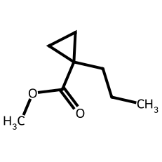 CCCC1(C(=O)OC)CC1